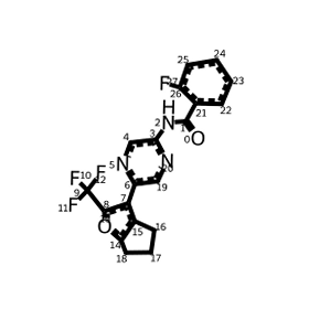 O=C(Nc1cnc(-c2c(C(F)(F)F)oc3c2CCC3)cn1)c1ccccc1F